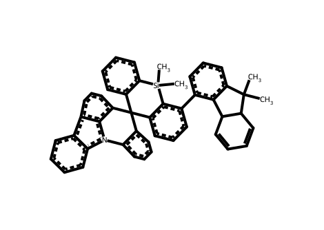 CC1(C)c2cccc(-c3cccc4c3[Si](C)(C)c3ccccc3C43c4ccccc4-n4c5ccccc5c5cccc3c54)c2C2C=CC=CC21